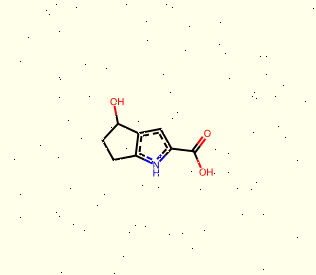 O=C(O)c1cc2c([nH]1)CCC2O